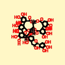 O=C1OC[C@H]2OC(=O)c3cc(O)c(O)c(O)c3-c3c(O)c(O)c(O)c4c3C(=O)O[C@H]([C@@H]3OC(=O)c5c-4c(O)c(O)c(O)c5[C@@H]3c3c(O)cc4c(c3O)C[C@H](O)[C@@H](c3cc(O)c(O)c(O)c3)O4)[C@H]2OC(=O)c2cc(O)c(O)c(O)c2-c2c1cc(O)c(O)c2O